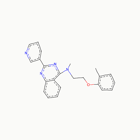 Cc1ccccc1OCCN(C)c1nc(-c2cccnc2)nc2ccccc12